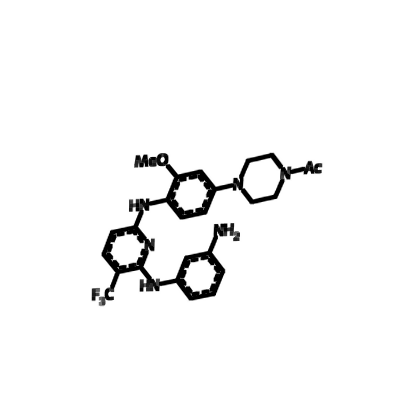 COc1cc(N2CCN(C(C)=O)CC2)ccc1Nc1ccc(C(F)(F)F)c(Nc2cccc(N)c2)n1